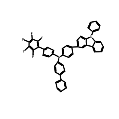 Fc1c(F)c(F)c(-c2ccc(N(c3ccc(-c4ccccc4)cc3)c3ccc(-c4ccc5c(c4)c4ccccc4n5-c4ccccc4)cc3)cc2)c(F)c1F